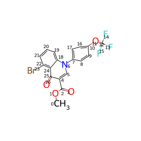 COC(=O)c1cn(-c2ccc(OC(F)(F)F)cc2)c2cccc(Br)c2c1=O